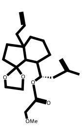 C=CCC12CCCC([C@H](CC(=C)C)OC(=O)COC)C1C1(CC2)OCCO1